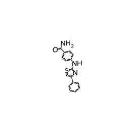 NC(=O)c1ccc(Nc2nc(-c3ccccc3)cs2)cc1